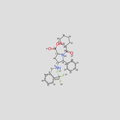 O=C(O)C1CC(NCc2ccccc2C(F)(F)F)C(c2ccccc2)N1C(=O)C1CCCCC1